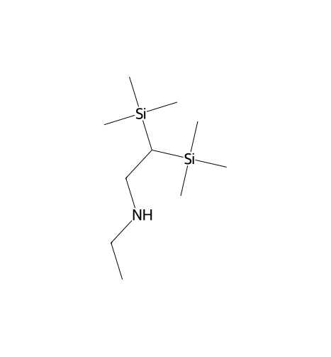 CCNCC([Si](C)(C)C)[Si](C)(C)C